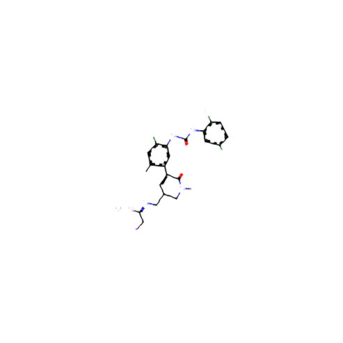 CCN1CC(C/N=C(\CI)NC)C=C(c2cc(NC(=O)Nc3cc(F)ccc3F)c(F)cc2C)C1=O